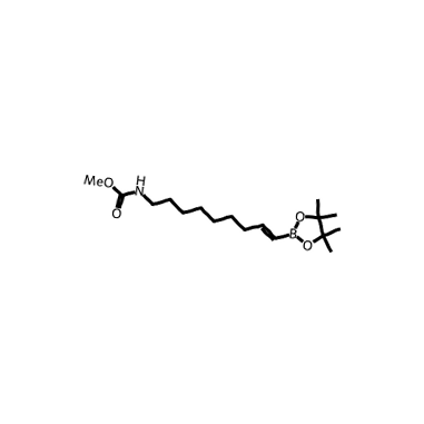 COC(=O)NCCCCCCC/C=C/B1OC(C)(C)C(C)(C)O1